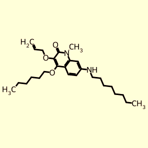 C=CCOc1c(OCCCCCC)c2ccc(NCCCCCCCC)cc2n(C)c1=O